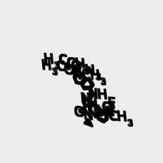 CC(C)(C)OC(=O)N1CCc2cc(Nc3ncc4c(=O)n(C5CC5)n(-c5cccc(C(C)(C)CF)n5)c4n3)ccc2C1(C)C